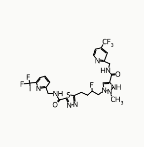 CN1NC(C(=O)NCc2cc(C(F)(F)F)ccn2)=CN1CC(F)CCc1nnc(C(=O)NCc2cccc(C(F)(F)I)n2)s1